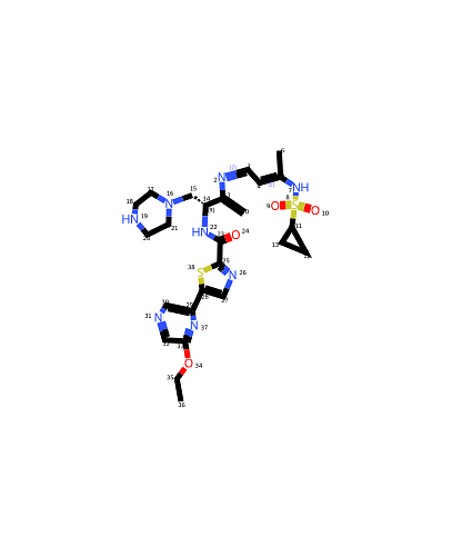 C=C(/N=C\C=C(/C)NS(=O)(=O)C1CC1)[C@@H](CN1CCNCC1)NC(=O)c1ncc(-c2cncc(OCC)n2)s1